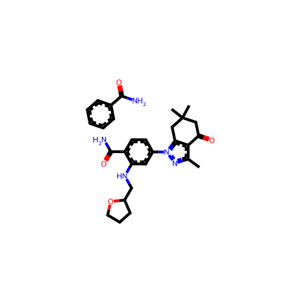 Cc1nn(-c2ccc(C(N)=O)c(NCC3CCCO3)c2)c2c1C(=O)CC(C)(C)C2.NC(=O)c1ccccc1